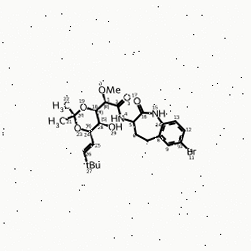 CO[C@@H](C(=O)NC1CCc2cc(Br)ccc2NC1=O)[C@@H]1OC(C)(C)O[C@H](C=CC(C)(C)C)[C@@H]1O